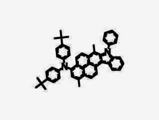 Cc1cc(N(c2ccc(C(C)(C)C)cc2)c2ccc(C(C)(C)C)cc2)c2ccc3c(C)c4c(c5ccc1c2c35)c1ccccc1n4-c1ccccc1